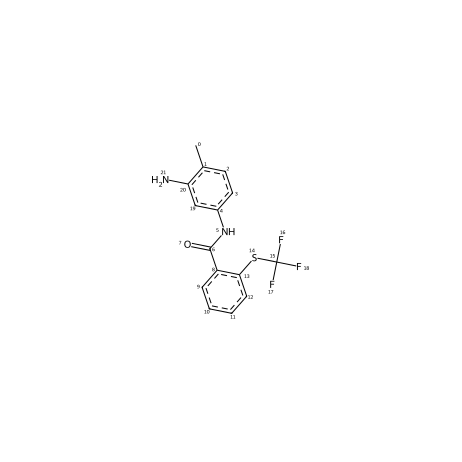 Cc1ccc(NC(=O)c2ccccc2SC(F)(F)F)cc1N